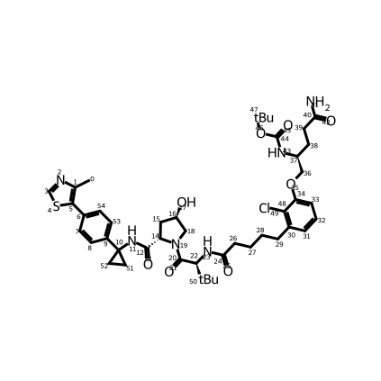 Cc1ncsc1-c1ccc(C2(NC(=O)[C@@H]3C[C@@H](O)CN3C(=O)[C@@H](NC(=O)CCCCc3cccc(OC[C@H](CCC(N)=O)NC(=O)OC(C)(C)C)c3Cl)C(C)(C)C)CC2)cc1